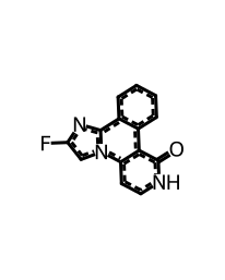 O=c1[nH]ccc2c1c1ccccc1c1nc(F)cn21